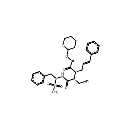 CC(C)C[C@@H](C(=O)NN(Cc1cccnc1)S(C)(=O)=O)[C@H](CC=Cc1ccccc1)C(=O)NOC1CCCCO1